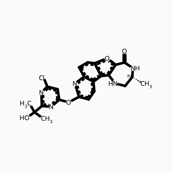 C[C@@H]1CNc2c(oc3ccc4nc(Oc5cc(Cl)nc(C(C)(C)O)n5)ccc4c23)C(=O)N1